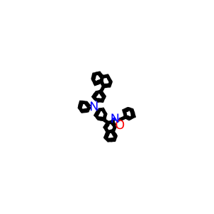 C1=C(c2ccc(N(C3=CC=C(c4cc5ccccc5c5oc(-c6ccccc6)nc45)CC3)c3ccccc3)cc2)c2ccccc2CC1